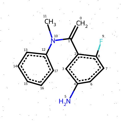 C=C(c1cc(N)ccc1F)N(C)c1ccccc1